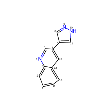 c1ccc2ncc(-c3cn[nH]c3)cc2c1